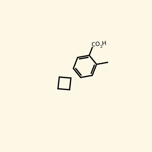 C1CCC1.Cc1ccccc1C(=O)O